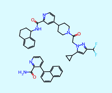 NC(=O)c1ncccc1-c1cccc2ccccc12.O=C(NC1CCCc2ccccc21)c1cc(C2CCN(C(=O)Cn3nc(C(F)F)cc3C3CC3)CC2)ccn1